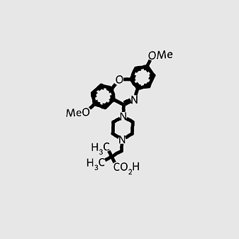 COc1ccc2c(c1)Oc1ccc(OC)cc1C(N1CCN(CC(C)(C)C(=O)O)CC1)=N2